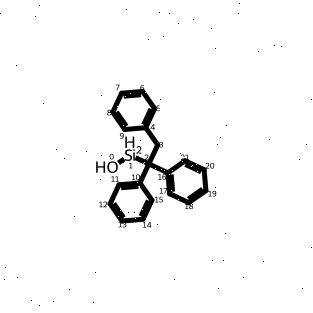 O[SiH2]C(Cc1ccccc1)(c1ccccc1)c1ccccc1